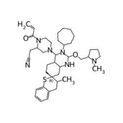 C=CC(=O)N1CCN(C2C3CC[C@]4(CC3NC(OCC3CCCN3C)N2C2CCCCCC2)Sc2ccccc2CC4C)CC1CC#N